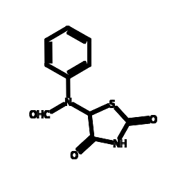 O=CN(c1ccccc1)C1SC(=O)NC1=O